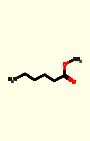 O=C(CCCC[N+](=O)[O-])O[N+](=O)[O-]